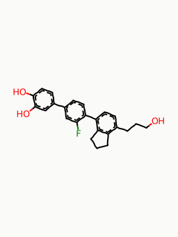 OCCCc1ccc(-c2ccc(-c3ccc(O)c(O)c3)cc2F)c2c1CCC2